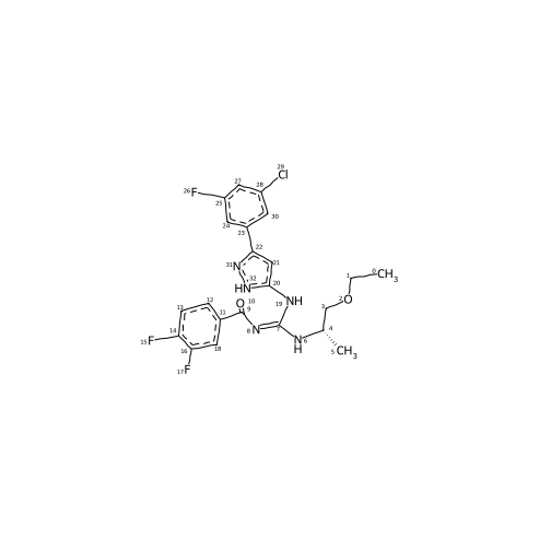 CCOC[C@H](C)N/C(=N/C(=O)c1ccc(F)c(F)c1)Nc1cc(-c2cc(F)cc(Cl)c2)n[nH]1